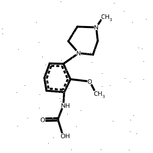 COc1c(NC(=O)O)cccc1N1CCN(C)CC1